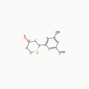 N#Cc1cc(C=O)cc(C2CC(=O)CCS2)c1